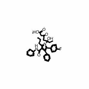 CCCc1c(C(=O)Nc2ccccc2)c(-c2ccccc2)c(-c2ccc(F)cc2)n1[C@@](O)(CC)CC(=O)CC(=O)O